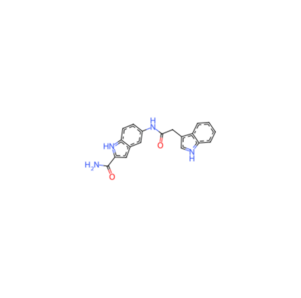 NC(=O)c1cc2cc(NC(=O)Cc3c[nH]c4ccccc34)ccc2[nH]1